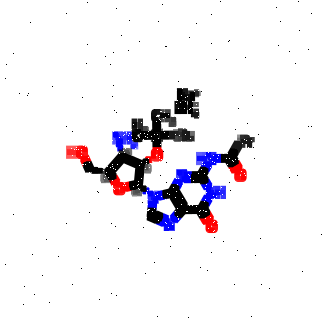 CC(C)C(=O)Nc1nc2c(ncn2[C@@H]2O[C@H](CO)[C@H](N)[C@@H]2O[Si](C)(C)C(C)(C)C)c(=O)[nH]1.[BH4-].[Na+]